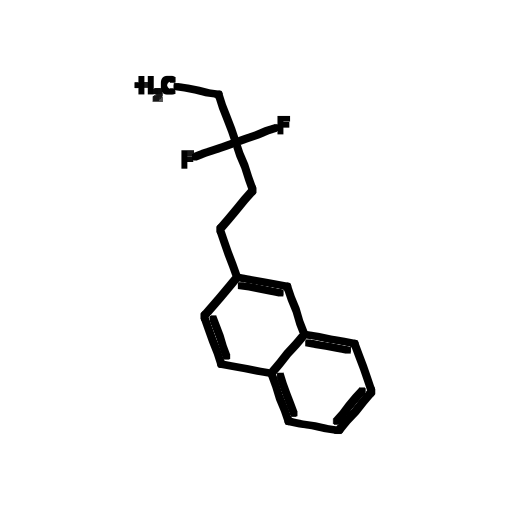 [CH2]CC(F)(F)CCc1ccc2ccccc2c1